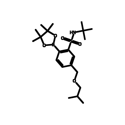 CC(C)COCc1ccc(B2OC(C)(C)C(C)(C)O2)c(S(=O)(=O)NC(C)(C)C)c1